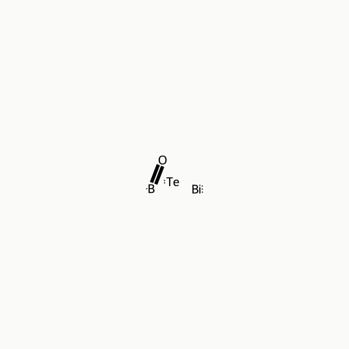 [B]=O.[Bi].[Te]